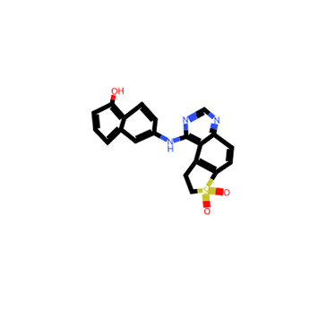 O=S1(=O)CCc2c1ccc1ncnc(Nc3ccc4c(O)cccc4c3)c21